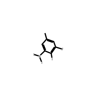 Cc1cc(F)c(I)c(N(I)I)c1